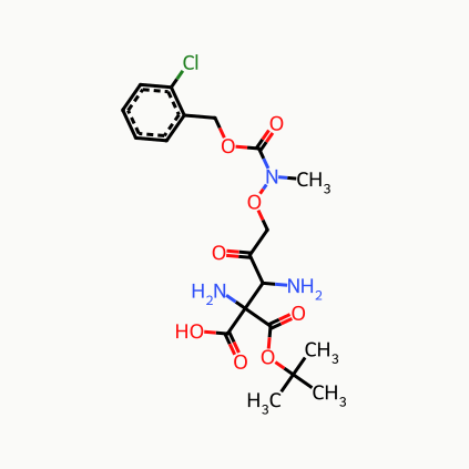 CN(OCC(=O)C(N)C(N)(C(=O)O)C(=O)OC(C)(C)C)C(=O)OCc1ccccc1Cl